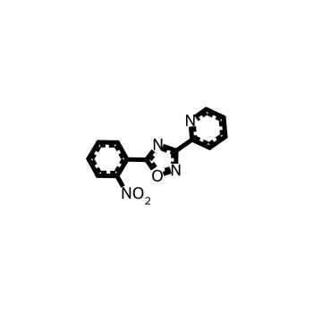 O=[N+]([O-])c1ccccc1-c1nc(-c2ccccn2)no1